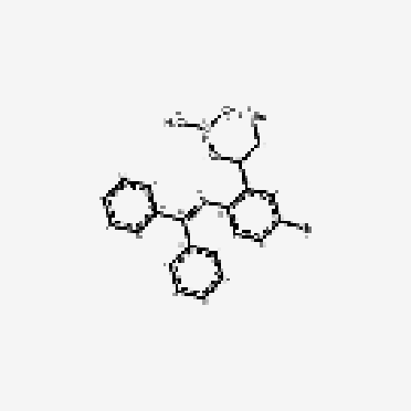 C[SiH](C)OC(CC(C)(C)C)c1cc(Br)ccc1N=C(c1ccccc1)c1ccccc1